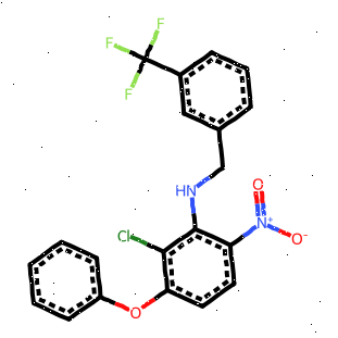 O=[N+]([O-])c1ccc(Oc2ccccc2)c(Cl)c1NCc1cccc(C(F)(F)F)c1